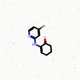 O=C1CCCC=C1Nc1cc(Br)ccn1